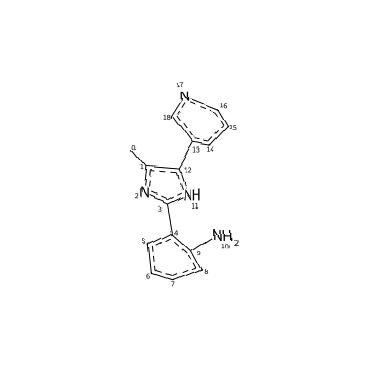 Cc1nc(-c2ccccc2N)[nH]c1-c1cccnc1